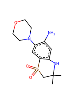 CC1(C)CS(=O)(=O)c2cc(N3CCOCC3)c(N)cc2N1